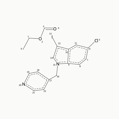 CCOC=O.Clc1ccc2c(c1)c(I)cn2Cc1ccncc1